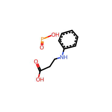 O=C(O)CCNc1ccccc1.O=PO